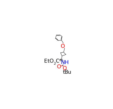 CCOC(=O)[C@H](NC(=O)OC(C)(C)C)C1CC(COCc2ccccc2)C1